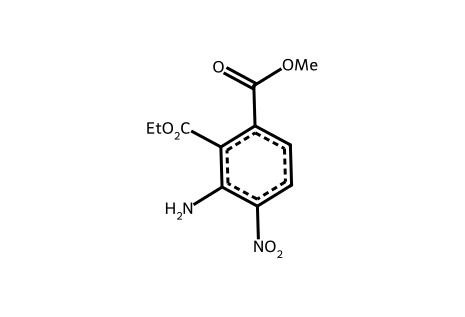 CCOC(=O)c1c(C(=O)OC)ccc([N+](=O)[O-])c1N